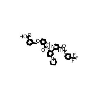 O=C(O)c1cccc(COc2cccc(C(=O)Nc3ccc(N4CCCCC4)cc3-c3cc(C(=O)NCc4cccc(C(F)(F)F)c4)ccn3)c2)c1